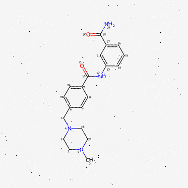 CN1CCN(Cc2ccc(C(=O)Nc3cccc(C(N)=O)c3)cc2)CC1